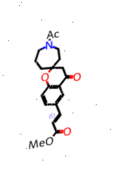 COC(=O)/C=C/c1ccc2c(c1)C(=O)CC1(CCCN(C(C)=O)CC1)O2